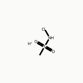 CS(=O)(=O)NCl.[H+]